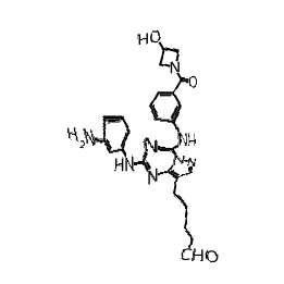 Nc1cccc(Nc2nc(Nc3cccc(C(=O)N4CC(O)C4)c3)n3ncc(CCCCC=O)c3n2)c1